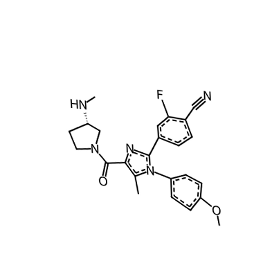 CN[C@H]1CCN(C(=O)c2nc(-c3ccc(C#N)c(F)c3)n(-c3ccc(OC)cc3)c2C)C1